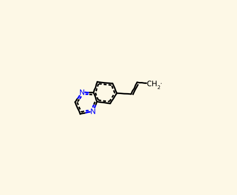 [CH2]/C=C/c1ccc2nccnc2c1